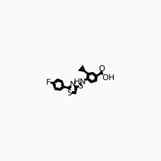 O=C(O)c1ccc(NSc2csc(-c3ccc(F)cc3)n2)c(C2CC2)c1